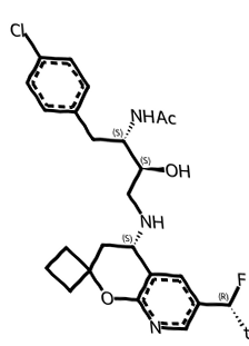 CC(=O)N[C@@H](Cc1ccc(Cl)cc1)[C@@H](O)CN[C@H]1CC2(CCC2)Oc2ncc([C@H](F)C(C)(C)C)cc21